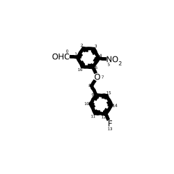 O=Cc1ccc([N+](=O)[O-])c(OCc2ccc(F)cc2)c1